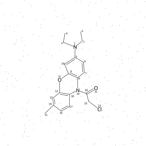 CCN(CC)c1ccc2c(c1)Oc1cc(C)ccc1N2C(=O)CCl